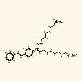 CCCCCCCCCCCCCCCCCCN(CCCCCCCCCCCCCCCCCC)c1ccc(C=Cc2ccncc2)cc1